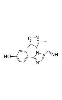 CC1=NOC(C)C1n1c(C=N)cnc1-c1ccc(O)cc1